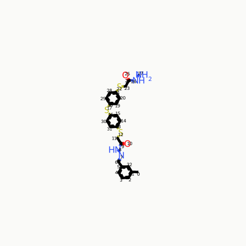 Cc1cccc(C=NNC(=O)CSc2ccc(Sc3ccc(SCC(=O)NN)cc3)cc2)c1